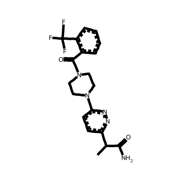 CC(C(N)=O)c1ccc(N2CCN(C(=O)c3ccccc3C(F)(F)F)CC2)nn1